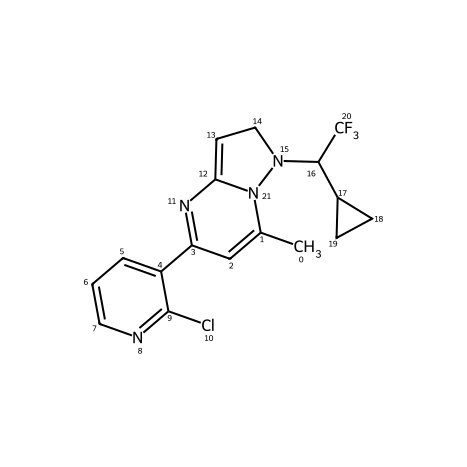 CC1=CC(c2cccnc2Cl)=NC2=CCN(C(C3CC3)C(F)(F)F)N12